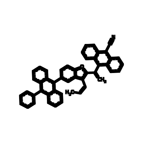 C=C(c1oc2ccc(-c3c4ccccc4c(-c4ccccc4)c4ccccc34)cc2c1/C=C\C)c1c2ccccc2c(C#N)c2ccccc12